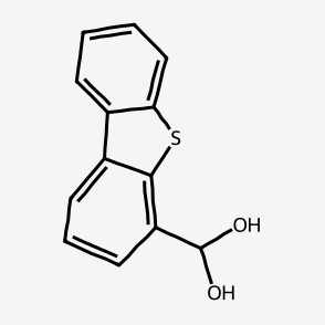 OC(O)c1cccc2c1sc1ccccc12